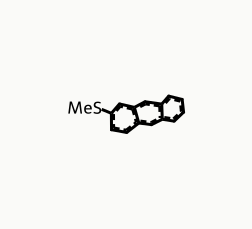 CSc1ccc2cc3ccccc3cc2c1